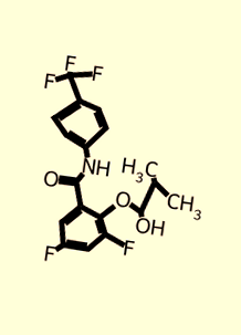 CC(C)C(O)Oc1c(F)cc(F)cc1C(=O)Nc1ccc(C(F)(F)F)cc1